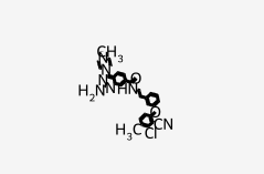 Cc1ccc(Oc2cccc(CCNC(=O)c3ccc4c(N5CCN(C)CC5)nc(N)nc4c3)c2)c(C#N)c1Cl